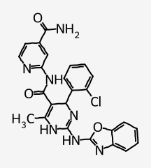 CC1=C(C(=O)Nc2cc(C(N)=O)ccn2)C(c2ccccc2Cl)N=C(Nc2nc3ccccc3o2)N1